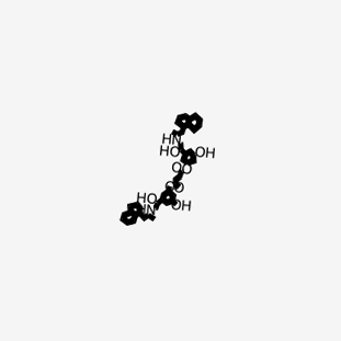 CC(Cc1cccc2ccccc12)NCC(O)c1cc(O)cc(OC(=O)/C=C/C(=O)Oc2cc(O)cc(C(O)CNC(C)Cc3cccc4ccccc34)c2)c1